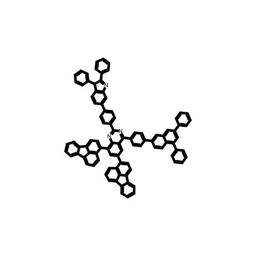 c1ccc(C2=Nc3cc(-c4ccc(-c5nc(-c6ccc(-c7ccc8c(-c9ccccc9)cc(-c9ccccc9)cc8c7)cc6)c6cc(-c7ccc8c9c(cccc79)-c7ccccc7-8)cc(-c7ccc8c9c(cccc79)-c7ccccc7-8)c6n5)cc4)ccc3C2c2ccccc2)cc1